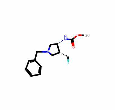 CC(C)(C)OC(=O)N[C@H]1CN(Cc2ccccc2)C[C@H]1CF